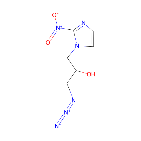 [N-]=[N+]=NCC(O)Cn1ccnc1[N+](=O)[O-]